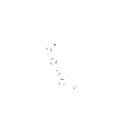 N#Cc1cnn(Cc2ccc(Cc3cc(-c4ccc[n+](COP(=O)([O-])O)c4N)on3)cc2)c1